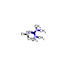 CC[SiH](C)N=C(N(C)C)N(C)C